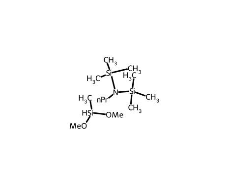 CCCN([Si](C)(C)C)[Si](C)(C)C.CO[SiH](C)OC